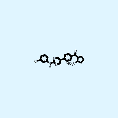 O=C(O)C1CCCC1C(=O)c1ccc(-c2cnc(Nc3cccc(Cl)c3)nc2)cc1